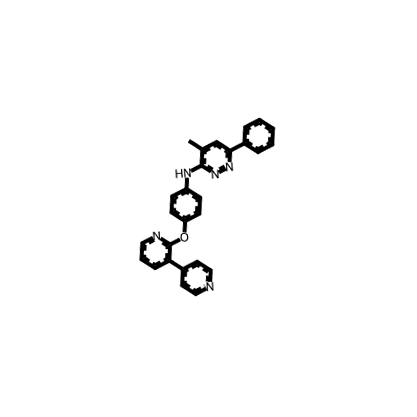 Cc1cc(-c2ccccc2)nnc1Nc1ccc(Oc2ncccc2-c2ccncc2)cc1